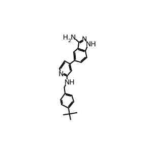 CC(C)(C)c1ccc(CNc2cc(-c3ccc4[nH]nc(N)c4c3)ccn2)cc1